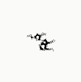 [C-]#[N+]c1cn([C@@H]2O[C@H](CO)C[C@H]2O)c2ncnc(N)c12